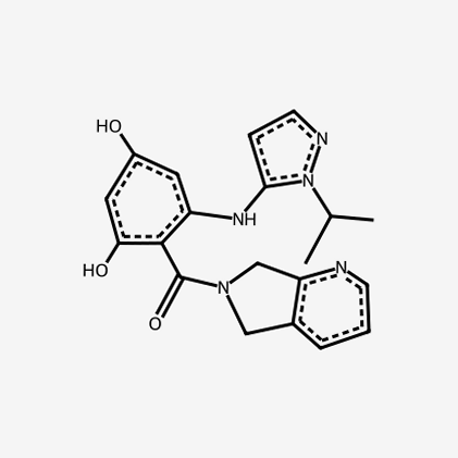 CC(C)n1nccc1Nc1cc(O)cc(O)c1C(=O)N1Cc2cccnc2C1